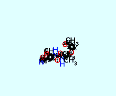 COc1cc(NC(=O)C(=O)NC(C)(C)CCOc2cccc(C(C)=O)c2)ccc1-c1cnco1